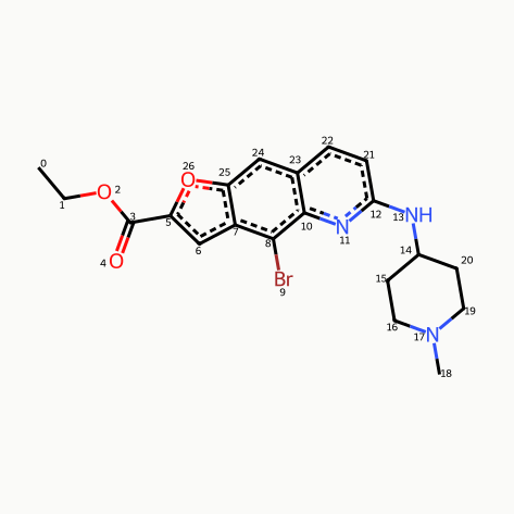 CCOC(=O)c1cc2c(Br)c3nc(NC4CCN(C)CC4)ccc3cc2o1